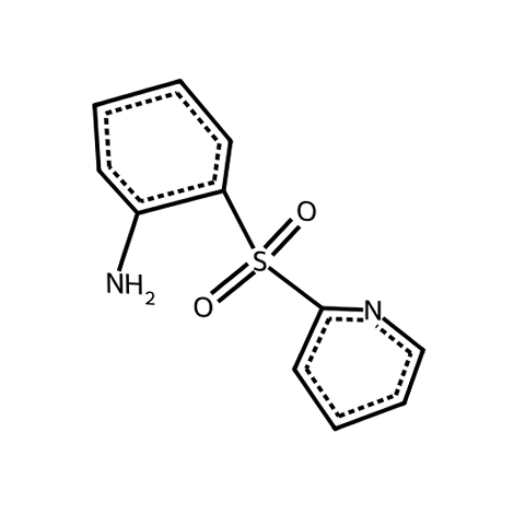 Nc1ccccc1S(=O)(=O)c1ccccn1